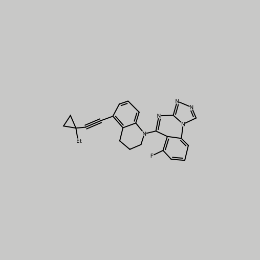 CCC1(C#Cc2cccc3c2CCCN3c2nc3nncn3c3cccc(F)c23)CC1